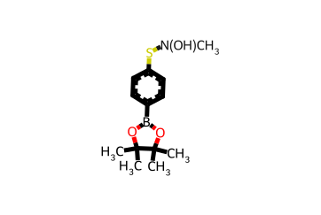 CN(O)Sc1ccc(B2OC(C)(C)C(C)(C)O2)cc1